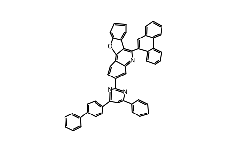 c1ccc(-c2ccc(-c3cc(-c4ccccc4)nc(-c4ccc5c(c4)nc(-c4cc6ccccc6c6ccccc46)c4c6ccccc6oc54)n3)cc2)cc1